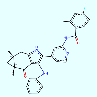 Cc1cc(F)ccc1C(=O)Nc1cc(-c2[nH]c3c(c2Nc2ccccc2)C(=O)[C@@H]2C[C@]2(C)C3)ccn1